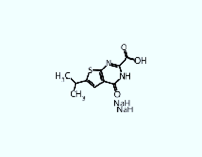 CC(C)c1cc2c(=O)[nH]c(C(=O)O)nc2s1.[NaH].[NaH]